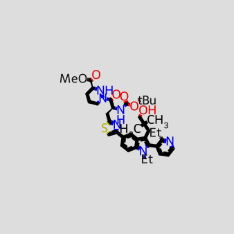 CCc1ncccc1-c1c(CC(C)(C)CO)c2cc(-c3csc(C[C@H](NC(=O)OC(C)(C)C)C(=O)N4CCC[C@@H](C(=O)OC)N4)n3)ccc2n1CC